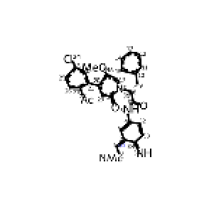 CN/C=C1/C=C(NC(=O)[C@@H](Cc2ccccc2)n2cc(OC)c(-c3cc(Cl)ccc3C(C)=O)cc2=O)C=CC1=N